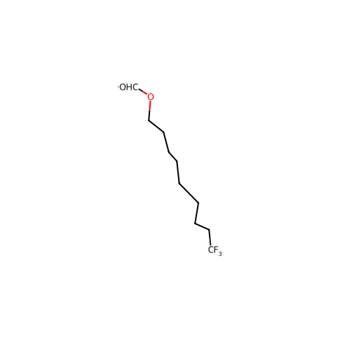 O=[C]OCCCCCCCCC(F)(F)F